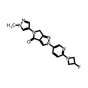 Cn1cc(N2Cc3nn(-c4ccc(N5CC(F)C5)nc4)cc3C2=O)cn1